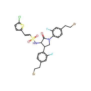 O=C1C(NS(=O)(=O)/C=C/c2ccc(Cl)s2)C(c2ccc(CCBr)cc2F)CN1c1ccc(CCBr)cc1F